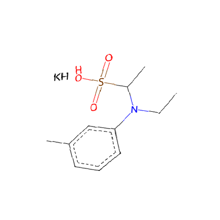 CCN(c1cccc(C)c1)C(C)S(=O)(=O)O.[KH]